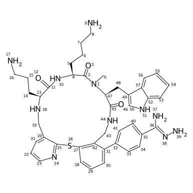 CN1C(=O)[C@H](CCCCN)NC(=O)[C@H](CCCN)NCc2cccnc2Sc2cccc(-c3ccc(/C(N)=N/N)cc3)c2CNC(=O)[C@@H]1Cc1c[nH]c2ccccc12